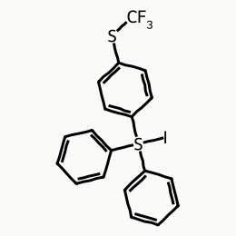 FC(F)(F)Sc1ccc(S(I)(c2ccccc2)c2ccccc2)cc1